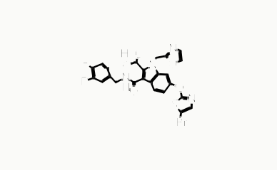 CC(C)c1c(C(=O)NCc2ccc(F)c(F)c2)c2ccc(Oc3ncc(Br)s3)cc2n1Cc1ncco1